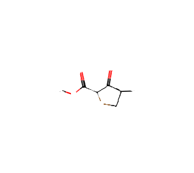 COC(=O)C1SCC(C)C1=O